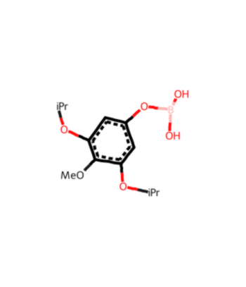 COc1c(OC(C)C)cc(OB(O)O)cc1OC(C)C